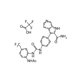 CC(=O)Nc1ccc(C(F)(F)F)cc1NC(=O)Nc1ccc(-c2c(C(N)=O)[nH]c3cnccc23)cc1.O=C(O)C(F)(F)F